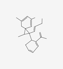 C=C(C)C1=CC=CCC1C1(C=CCC)C(C)C12C=C(C)C=C(C)C2